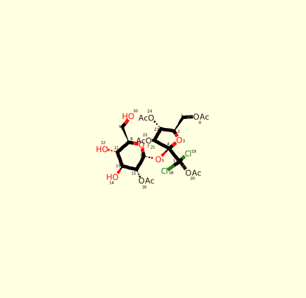 CC(=O)OC[C@H]1O[C@](O[C@H]2O[C@H](CO)[C@@H](O)[C@H](O)[C@H]2OC(C)=O)(C(Cl)(Cl)OC(C)=O)[C@@H](OC(C)=O)[C@@H]1OC(C)=O